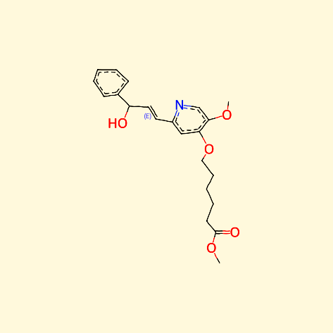 COC(=O)CCCCCOc1cc(/C=C/C(O)c2ccccc2)ncc1OC